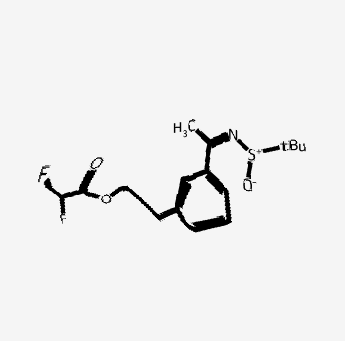 C/C(=N/[S+]([O-])C(C)(C)C)c1cccc(CCOC(=O)C(F)F)c1